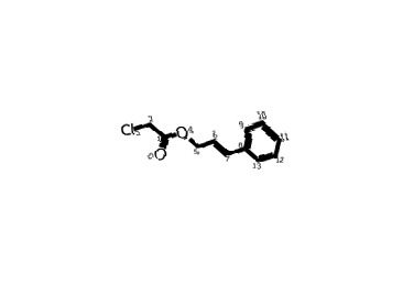 O=C(CCl)OC/C=C/c1ccccc1